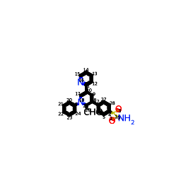 NS(=O)(=O)c1ccc(C2=CC(c3ccccn3)=CN(c3ccccc3)C2C=O)cc1